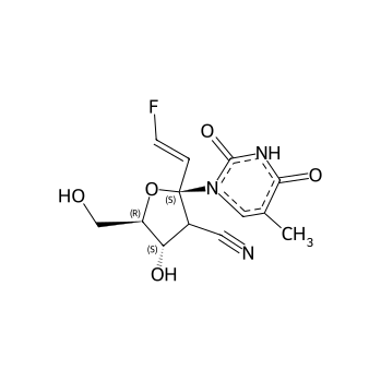 Cc1cn([C@]2(C=CF)O[C@H](CO)[C@@H](O)C2C#N)c(=O)[nH]c1=O